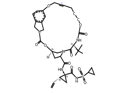 C=C[C@H]1C[C@@]1(NC(=O)C1C[C@@H]2CN1C(=O)[C@H](C(C)(C)C)NC(=O)OCCC/C=C/COc1ccc3c(c1)CN(C3)C(=O)O2)C(=O)NS(=O)(=O)C1CC1